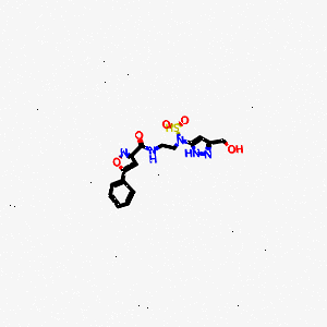 O=C(NCCN(c1cc(CO)n[nH]1)[SH](=O)=O)c1cc(-c2ccccc2)on1